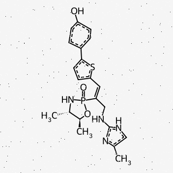 Cc1c[nH]c(NCC(=Cc2ccc(-c3ccc(O)cc3)s2)P2(=O)N[C@@H](C)[C@H](C)O2)n1